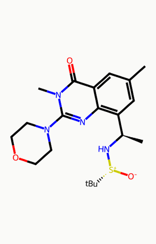 Cc1cc([C@@H](C)N[S@+]([O-])C(C)(C)C)c2nc(N3CCOCC3)n(C)c(=O)c2c1